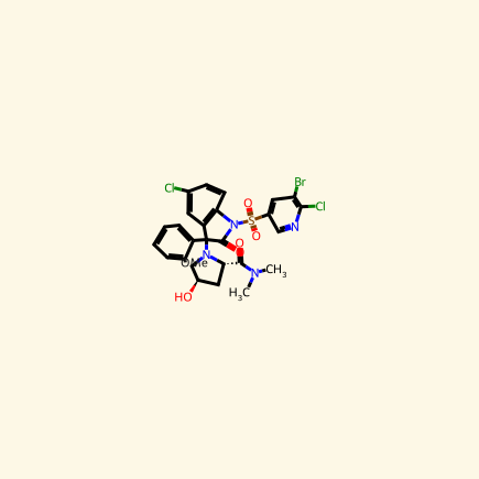 COc1ccccc1C1(N2C[C@H](O)C[C@H]2C(=O)N(C)C)C(=O)N(S(=O)(=O)c2cnc(Cl)c(Br)c2)c2ccc(Cl)cc21